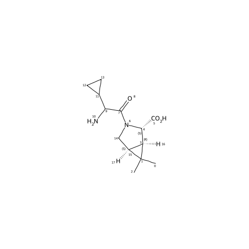 CC1(C)[C@@H]2[C@@H](C(=O)O)N(C(=O)C(N)C3CC3)C[C@@H]21